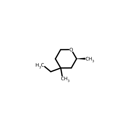 CCC1(C)CCO[C@@H](C)C1